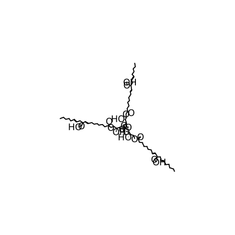 CCCCC/C=C/CC(/C=C/CCCCCCC(=O)OC[C@H](O)COP(=O)(OC[C@@H](O)COC(=O)CCCCCC/C=C/C(C/C=C/CCCCC)OO)OC[C@@H](O)COC(=O)CCCCCC/C=C/C(C/C=C/CCCCC)OO)OO